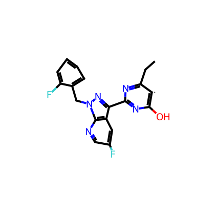 CCc1[c]c(O)nc(-c2nn(Cc3ccccc3F)c3ncc(F)cc23)n1